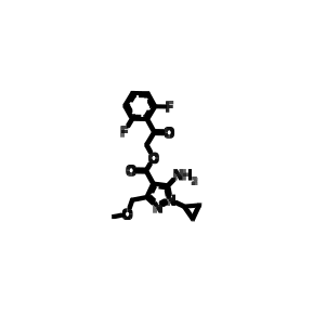 COCc1nn(C2CC2)c(N)c1C(=O)OCC(=O)c1c(F)cccc1F